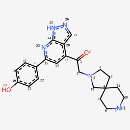 O=C(CN1CCC2(CCNCC2)C1)c1cc(-c2ccc(O)cc2)nc2[nH]ncc12